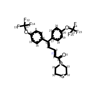 O=C(/C=C/C=C(c1ccc(OC(F)(F)F)cc1)c1ccc(OC(F)(F)F)cc1)N1CCSCC1